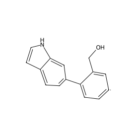 OCc1c[c]ccc1-c1ccc2cc[nH]c2c1